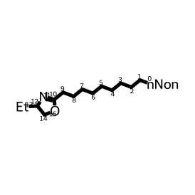 CCCCCCCCCCCCCCCCCCC1=NC(CC)CO1